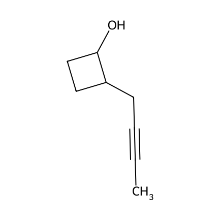 CC#CCC1CCC1O